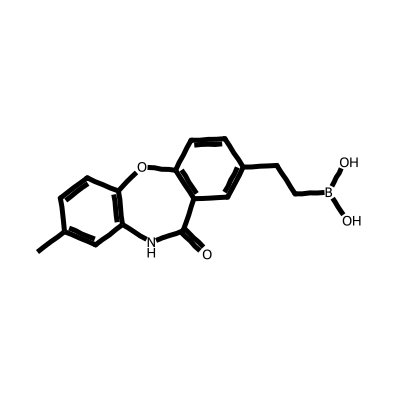 Cc1ccc2c(c1)NC(=O)c1cc(CCB(O)O)ccc1O2